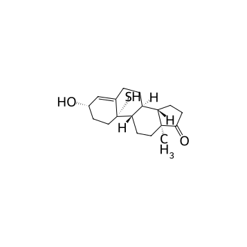 C[C@]12CC[C@H]3[C@@H](CCC4=C[C@@H](O)CC[C@@]43CS)[C@@H]1CCC2=O